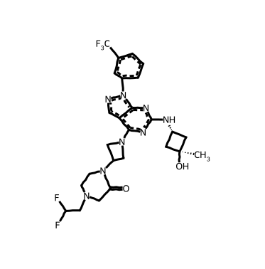 C[C@]1(O)C[C@H](Nc2nc(N3CC(N4CCN(CC(F)F)CC4=O)C3)c3cnn(-c4cccc(C(F)(F)F)c4)c3n2)C1